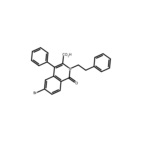 O=C(O)c1c(-c2ccccc2)c2cc(Br)ccc2c(=O)n1CCc1ccccc1